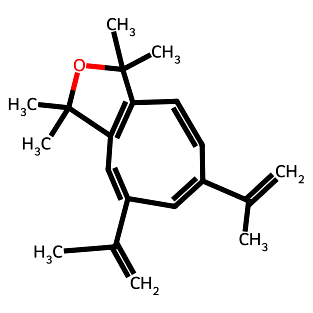 C=C(C)C1=CC(C(=C)C)=CC2=C(C=C1)C(C)(C)OC2(C)C